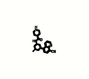 C[C@H]1C[C@@H](NC(=O)C2CCNCC2)CN(c2ccc(C#N)c3ncccc23)C1